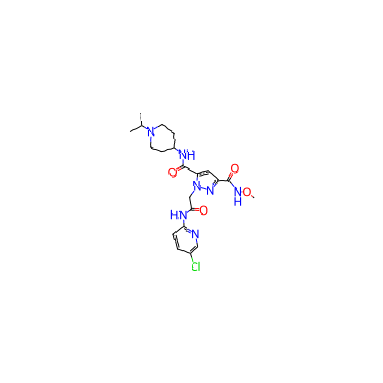 CONC(=O)c1cc(C(=O)NC2CCN(C(C)C)CC2)n(CC(=O)Nc2ccc(Cl)cn2)n1